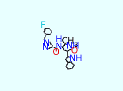 Cc1[nH]c(=O)c(-c2cc3ccccc3[nH]2)cc1NC(=O)c1cnn(CC2=CCCC(F)=C2)c1